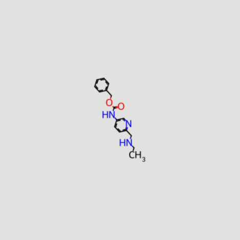 CCNCc1ccc(NC(=O)OCc2ccccc2)cn1